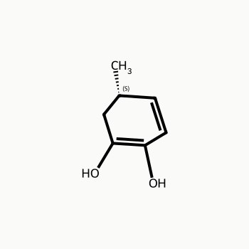 C[C@@H]1C=CC(O)=C(O)C1